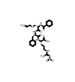 C=CCOC[C@H](NC(=O)c1ccccc1)C(=O)N[C@H](Cc1ccccc1)C(=O)N[C@@H](CCCN/C(N)=N/[N+](=O)[O-])C(=O)O